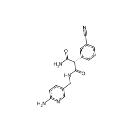 N#Cc1cccc([C@@H](C(N)=O)C(=O)NCc2ccc(N)nc2)c1